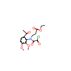 CCOC(=O)CCN(C(=O)C(=O)Cl)c1c(C(C)=O)ccc(OC)c1OC